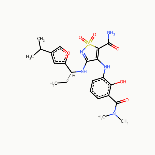 CC[C@@H](NC1=NS(=O)(=O)C(C(N)=O)=C1Nc1cccc(C(=O)N(C)C)c1O)c1cc(C(C)C)co1